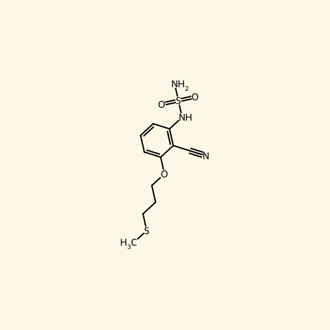 CSCCCOc1cccc(NS(N)(=O)=O)c1C#N